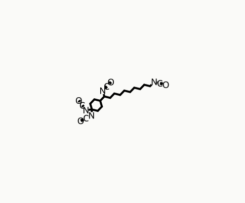 O=C=NCCCCCCCCCC(N=C=O)C1CCC(N=C=O)(N=C=O)CC1